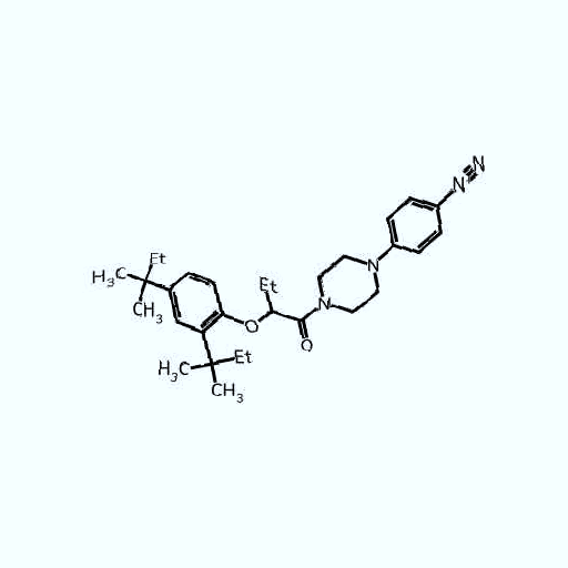 CCC(Oc1ccc(C(C)(C)CC)cc1C(C)(C)CC)C(=O)N1CCN(c2ccc([N+]#N)cc2)CC1